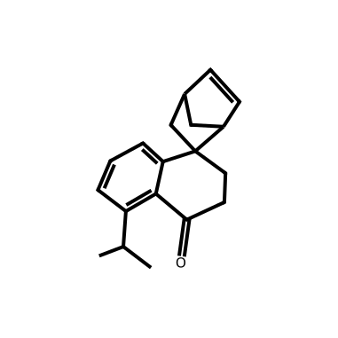 CC(C)c1cccc2c1C(=O)CCC21CC2C=CC1C2